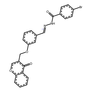 O=C(N/N=C/c1cccc(OCc2coc3ccccc3c2=O)c1)c1ccc(Br)cc1